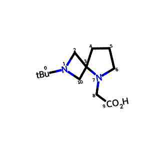 CC(C)(C)N1CC2(CCCN2CC(=O)O)C1